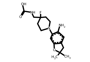 CC1(C)Cc2cc(N)c(N3CCC(F)(CNC(=O)O)CC3)cc2O1